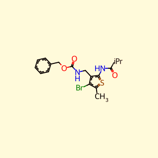 Cc1sc(NC(=O)C(C)C)c(CNC(=O)OCc2ccccc2)c1Br